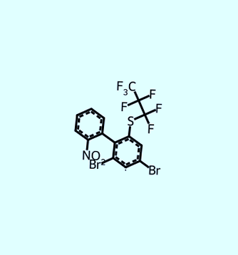 O=[N+]([O-])c1ccccc1-c1c(Br)[c]c(Br)cc1SC(F)(F)C(F)(F)C(F)(F)F